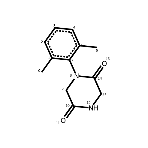 Cc1cccc(C)c1N1CC(=O)NCC1=O